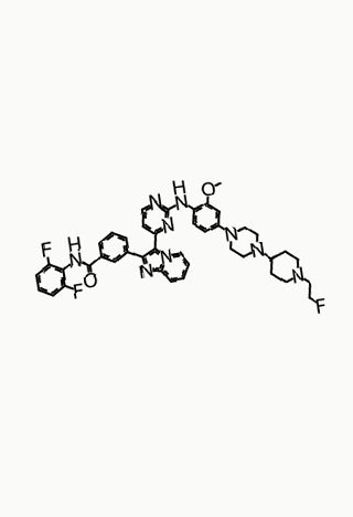 COc1cc(N2CCN(C3CCN(CCF)CC3)CC2)ccc1Nc1nccc(-c2c(-c3cccc(C(=O)Nc4c(F)cccc4F)c3)nc3ccccn23)n1